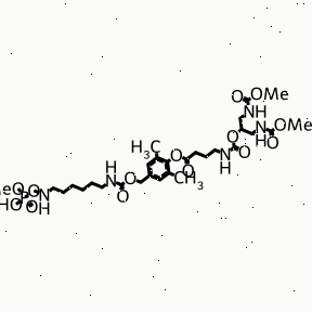 COC(=O)NCC(CNC(=O)OC)OC(=O)NCCCC(=O)Oc1c(C)cc(COC(=O)NCCCCCCNOP(=O)(O)OC)cc1C